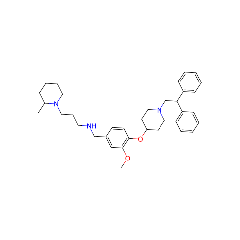 COc1cc(CNCCCN2CCCCC2C)ccc1OC1CCN(CC(c2ccccc2)c2ccccc2)CC1